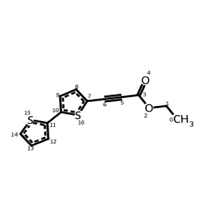 CCOC(=O)C#Cc1ccc(-c2cccs2)s1